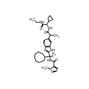 CCNC(=O)[C@H](NC(=O)C(C)c1ccc2nc(C(C)(NC(=O)c3ccnn3C)C3CCCCCCC3)[nH]c2c1)C1CCC1